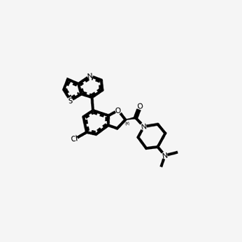 CN(C)C1CCN(C(=O)[C@H]2Cc3cc(Cl)cc(-c4ccnc5ccsc45)c3O2)CC1